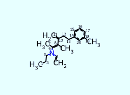 C=CN(CCC)/C(C)=C(\C)C(=C)CCc1cccc(C)c1